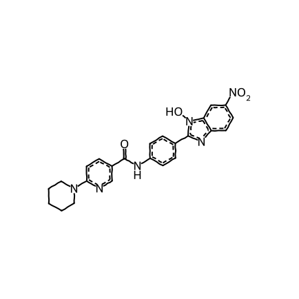 O=C(Nc1ccc(-c2nc3ccc([N+](=O)[O-])cc3n2O)cc1)c1ccc(N2CCCCC2)nc1